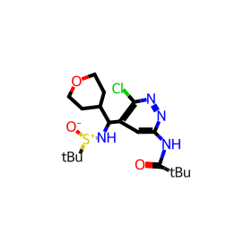 CC(C)(C)C(=O)Nc1cc(C(N[S+]([O-])C(C)(C)C)C2CCOCC2)c(Cl)nn1